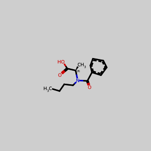 CCCCN(C(=O)c1ccccc1)[C@H](C)C(=O)O